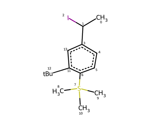 CC(I)c1ccc(S(C)(C)C)c(C(C)(C)C)c1